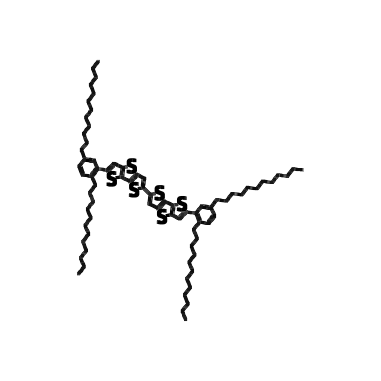 CCCCCCCCCCCCc1ccc(CCCCCCCCCCCC)c(-c2cc3sc4cc(-c5cc6sc7cc(-c8cc(CCCCCCCCCCCC)ccc8CCCCCCCCCCCC)sc7c6s5)sc4c3s2)c1